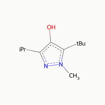 CC(C)c1nn(C)c(C(C)(C)C)c1O